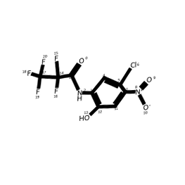 O=C(Nc1cc(Cl)c([N+](=O)[O-])cc1O)C(F)(F)C(F)(F)F